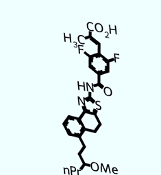 CCCC(CCc1cccc2c1CCc1sc(NC(=O)c3cc(F)c(C=C(C)C(=O)O)c(F)c3)nc1-2)OC